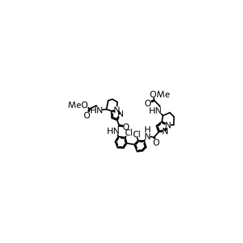 COC(=O)CNC1CCCn2nc(C(=O)Nc3cccc(-c4cccc(NC(=O)c5cc6n(n5)CCCC6NCC(=O)OC)c4Cl)c3Cl)cc21